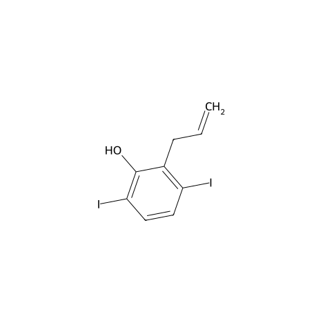 C=CCc1c(I)ccc(I)c1O